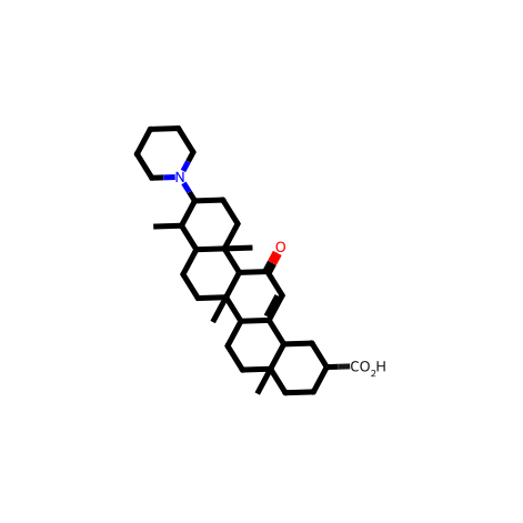 CC1C(N2CCCCC2)CCC2(C)C1CCC1(C)C3CCC4(C)CCC(C(=O)O)CC4C3=CC(=O)C12